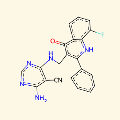 N#Cc1c(N)ncnc1NCc1c(-c2ccccc2)[nH]c2c(F)cccc2c1=O